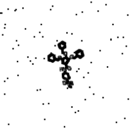 CCS(=O)(=O)N1CCC(NC(=O)c2cc(OCc3ccccc3)c(OCc3ccccc3)c(OCc3ccccc3)c2)CC1